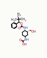 CC(C)(C)C(OC(=O)N[C@H]1CCC(NC(=O)O)C[C@H]1CO)c1ccccc1